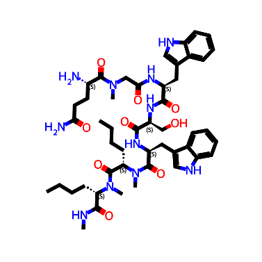 CCCC[C@@H](C(=O)N(C)[C@@H](CCCC)C(=O)NC)N(C)C(=O)[C@H](Cc1c[nH]c2ccccc12)NC(=O)[C@H](CO)NC(=O)[C@H](Cc1c[nH]c2ccccc12)NC(=O)CN(C)C(=O)[C@@H](N)CCC(N)=O